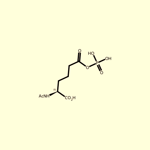 CC(=O)N[C@@H](CCCC(=O)OP(=O)(O)O)C(=O)O